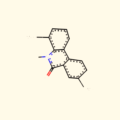 CCn1c(=O)c2cc(OC)ccc2c2cccc(OC)c21